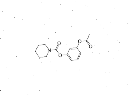 CC(=O)Oc1cccc(OC(=O)N2CCCCC2)c1